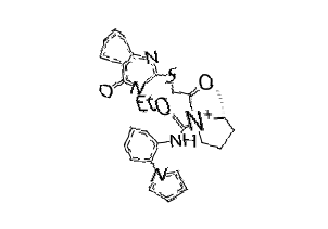 CCn1c(SCC(=O)[N+]2(C(=O)Nc3ccccc3-n3cccc3)CCC[C@H]2C)nc2ccccc2c1=O